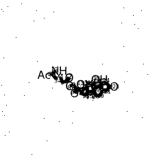 CC(=O)[C@@H](N)CSCC(=O)OCC(=O)[C@@]1(O)CC[C@H]2[C@@H]3CCC4=CC(=O)C=C[C@]4(C)[C@H]3[C@@H](O)C[C@@]21C